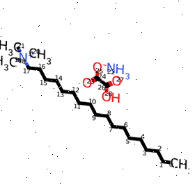 CCCCCCCCCCCCCCCCCC[N+](C)(C)C.N.O=C([O-])C(=O)O